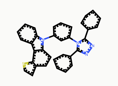 c1ccc(-c2nnc(-c3ccccc3)n2-c2cccc(-n3c4ccccc4c4c5sccc5ccc43)c2)cc1